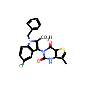 Cc1csc2c(=O)n(-c3c(C(=O)O)n(Cc4ccccc4)c4ccc(Cl)cc34)c(=O)[nH]c12